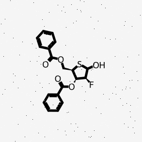 O=C(OC[C@H]1SC(O)[C@@H](F)[C@@H]1OC(=O)c1ccccc1)c1ccccc1